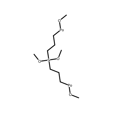 C[O][Po][CH2]CC[Si](CC[CH2][Po][O]C)(OC)OC